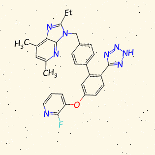 CCc1nc2c(C)cc(C)nc2n1Cc1ccc(-c2cc(Oc3cccnc3F)ccc2-c2nn[nH]n2)cc1